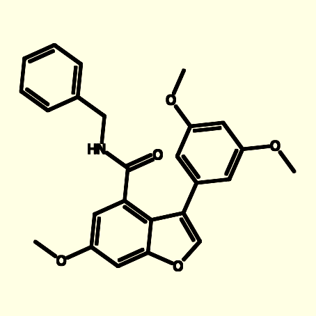 COc1cc(OC)cc(-c2coc3cc(OC)cc(C(=O)NCc4ccccc4)c23)c1